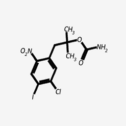 CC(C)(Cc1cc(Cl)c(I)cc1[N+](=O)[O-])OC(N)=O